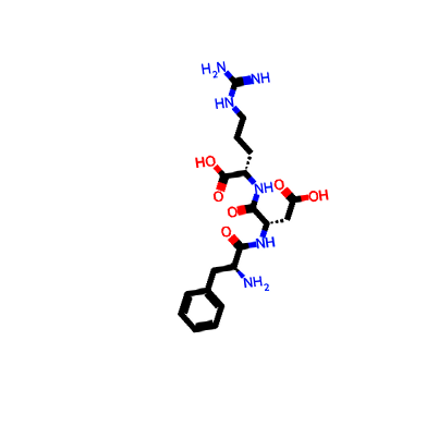 N=C(N)NCCC[C@H](NC(=O)[C@H](CC(=O)O)NC(=O)[C@@H](N)Cc1ccccc1)C(=O)O